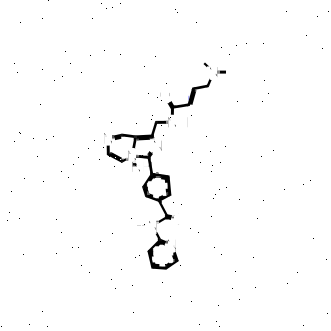 CN(C)C/C=C/C(=O)NCC1=C2C=NC=C[N+]2(N)C(c2ccc(C(=O)Nc3ccccn3)cc2)=N1